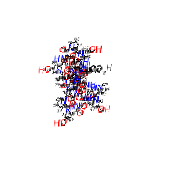 CSCC[C@H](NC(=O)[C@@H]1CCCN1C(=O)CNC(=O)[C@@H]1C[C@@H](O)CN1C(=O)[C@@H]1CCCN1C(=O)CNC(=O)[C@@H]1C[C@@H](O)CN1C(=O)[C@@H]1CCCN1C(=O)CNC(=O)[C@@H]1C[C@@H](O)CN1C(=O)[C@@H]1CCCN1)C(=O)NCC(=O)N1CCC[C@H]1C(=O)N1C[C@H](O)C[C@H]1C(=O)NCC(=O)N1CCC[C@H]1C(=O)N1C[C@H](O)C[C@H]1C(=O)NCC(=O)N1CCC[C@H]1C(=O)N1C[C@H](O)C[C@H]1C(=O)NCC(=O)O